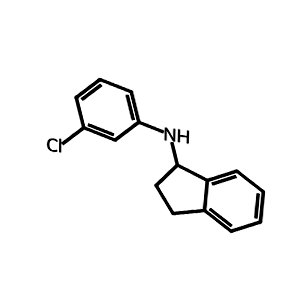 Clc1cccc(NC2CCc3ccccc32)c1